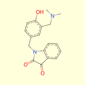 CN(C)Cc1cc(CN2C(=O)C(=O)c3ccccc32)ccc1O